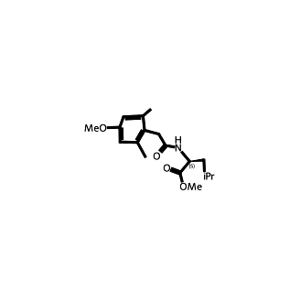 COC(=O)[C@H](CC(C)C)NC(=O)Cc1c(C)cc(OC)cc1C